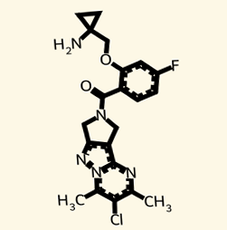 Cc1nc2c3c(nn2c(C)c1Cl)CN(C(=O)c1ccc(F)cc1OCC1(N)CC1)C3